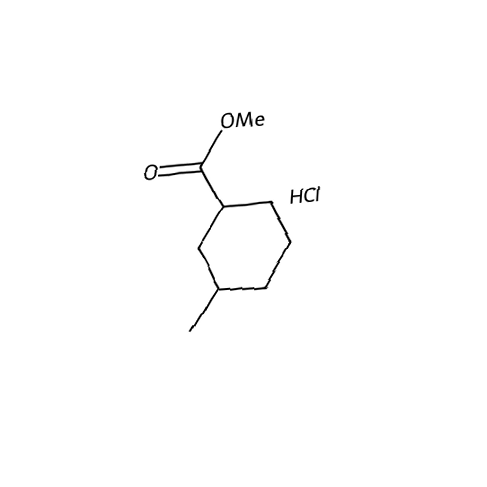 COC(=O)C1CCCC(C)C1.Cl